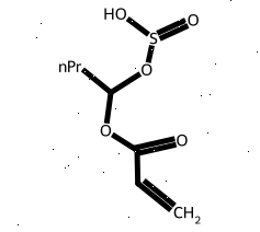 C=CC(=O)OC(CCC)OS(=O)O